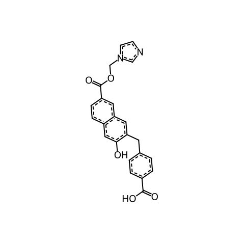 O=C(O)c1ccc(Cc2cc3cc(C(=O)OCn4ccnc4)ccc3cc2O)cc1